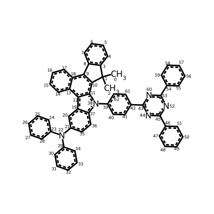 CC1(C)c2ccccc2-c2c1c1c(c3ccccc23)c2cc(N(c3ccccc3)c3ccccc3)ccc2n1-c1ccc(-c2nc(-c3ccccc3)nc(-c3ccccc3)n2)cc1